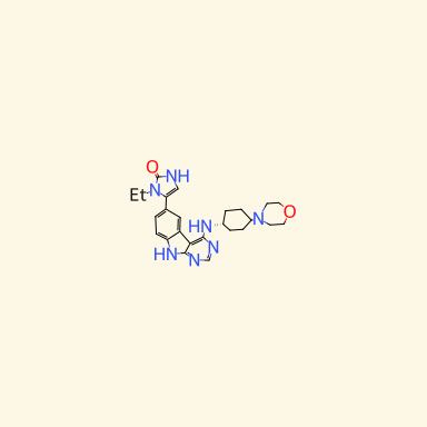 CCn1c(-c2ccc3[nH]c4ncnc(N[C@H]5CC[C@H](N6CCOCC6)CC5)c4c3c2)c[nH]c1=O